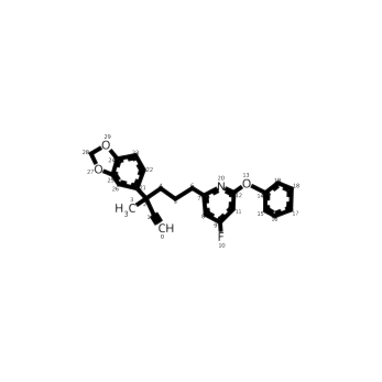 C#CC(C)(CCCc1cc(F)cc(Oc2ccccc2)n1)c1ccc2c(c1)OCO2